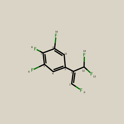 FC=C(c1cc(F)c(F)c(F)c1)C(F)F